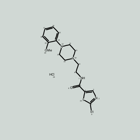 CCc1ncc(C(=O)NCCN2CCN(c3ccccc3OC)CC2)s1.Cl